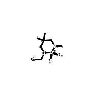 CCC(C)CN1CC(C)(C)CN(C)S1(=O)=O